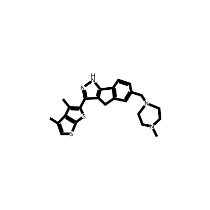 Cc1csc2sc(-c3n[nH]c4c3Cc3cc(CN5CCN(C)CC5)ccc3-4)c(C)c12